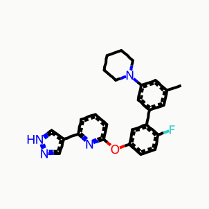 Cc1cc(-c2cc(Oc3cccc(-c4cn[nH]c4)n3)ccc2F)cc(N2CCCCC2)c1